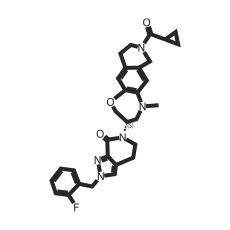 CN1C[C@H](N2CCc3cn(Cc4ccccc4F)nc3C2=O)COc2cc3c(cc21)CN(C(=O)C1CC1)CC3